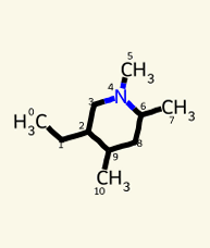 CCC1CN(C)C(C)CC1C